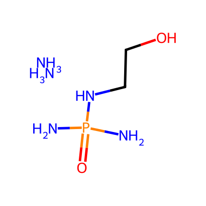 N.N.NP(N)(=O)NCCO